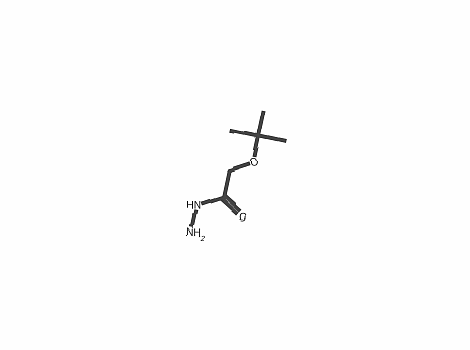 CC(C)(C)OCC(=O)NN